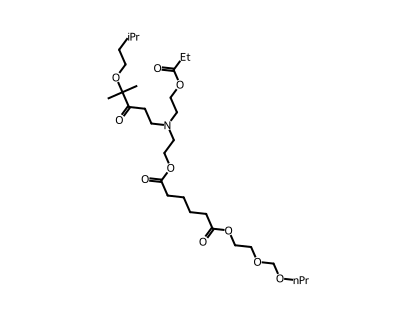 CCCOCOCCOC(=O)CCCCC(=O)OCCN(CCOC(=O)CC)CCC(=O)C(C)(C)OCCC(C)C